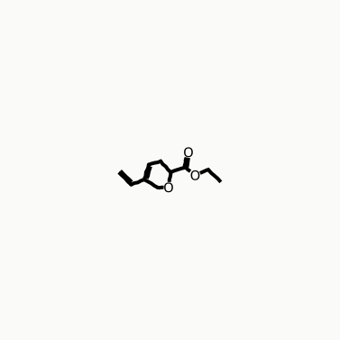 C=CC1=CCC(C(=O)OCC)OC1